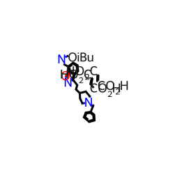 CC(C)COc1ccc2c(CCC3CCN(Cc4ccccc4)CC3)noc2c1CN(C)C.O=C(O)C=CC(=O)O.O=C(O)C=CC(=O)O